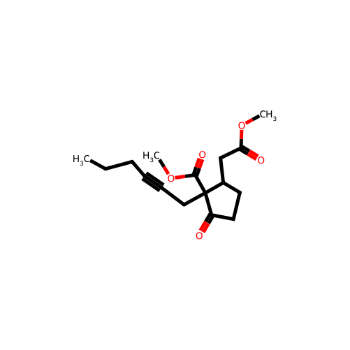 CCCC#CCC1(C(=O)OC)C(=O)CCC1CC(=O)OC